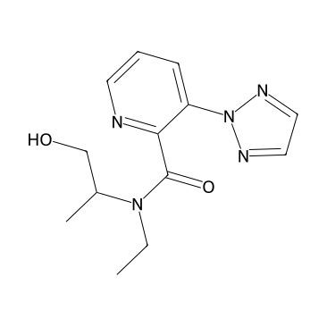 CCN(C(=O)c1ncccc1-n1nccn1)C(C)CO